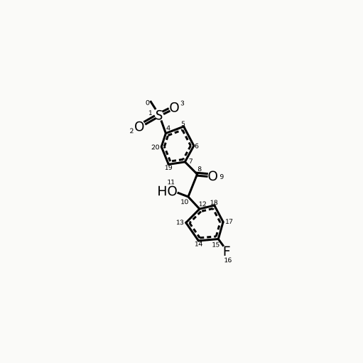 CS(=O)(=O)c1ccc(C(=O)C(O)c2ccc(F)cc2)cc1